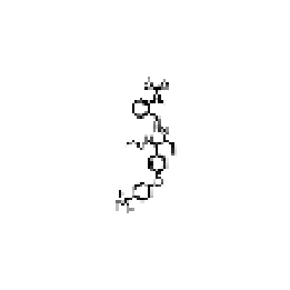 CCON=C(C(CC)=NN=Cc1ccccc1N(C)C(=O)OC)c1ccc(Oc2ccc(C(F)(F)F)cc2)cc1